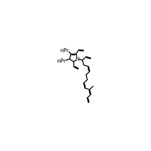 C=C/C=C(C)\C=C/CC/C=C\CC(C=C)N1C(C=C)=C(CCC)C(CCC)C1C=C